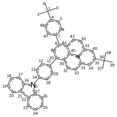 CC(C)(C)c1ccc(-c2cc(-c3ccc(-n4c5ccccc5c5ccccc54)cc3)c3ccc4cc(C(C)(C)C)cc5ccc2c3c45)cc1